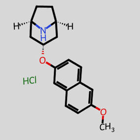 COc1ccc2cc(O[C@@H]3C[C@H]4CC[C@@H](C3)N4)ccc2c1.Cl